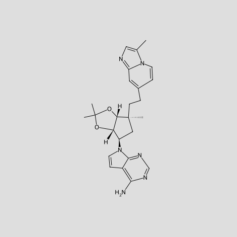 Cc1cnc2cc(CC[C@@]3(C)C[C@@H](n4ccc5c(N)ncnc54)[C@@H]4OC(C)(C)O[C@@H]43)ccn12